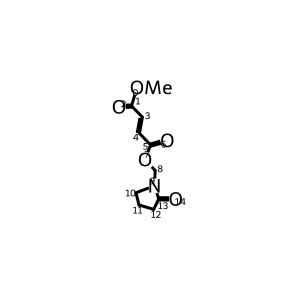 COC(=O)/C=C/C(=O)OCN1CCCC1=O